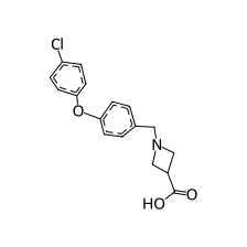 O=C(O)C1CN(Cc2ccc(Oc3ccc(Cl)cc3)cc2)C1